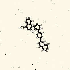 Clc1cc2oc3c(-c4ccc(-c5ccc6ccccc6c5)cc4)cccc3c2c2ccccc12